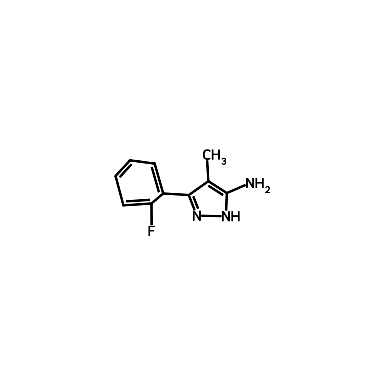 Cc1c(-c2ccccc2F)n[nH]c1N